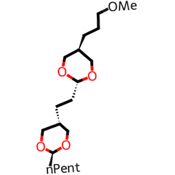 CCCCC[C@H]1OC[C@H](CC[C@H]2OC[C@H](CCCOC)CO2)CO1